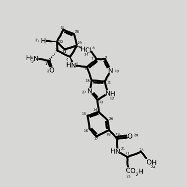 NC(=O)[C@H]1[C@H](Nc2c(Cl)cnc3[nH]c(-c4cccc(C(=O)NC(CO)C(=O)O)c4)nc23)[C@@H]2C=C[C@@H]1C2